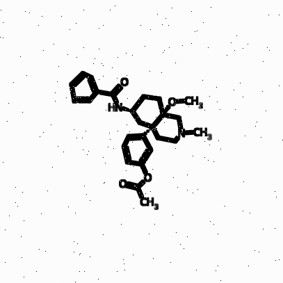 CO[C@]12CC[C@H](NC(=O)c3ccccc3)C[C@]1(c1cccc(OC(C)=O)c1)CCN(C)C2